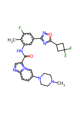 Cc1c(F)cc(-c2noc(C3CC(F)(F)C3)n2)cc1NC(=O)c1cnc2ccc(N3CCN(C)CC3)cn12